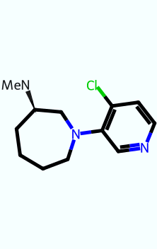 CN[C@@H]1CCCCN(c2cnccc2Cl)C1